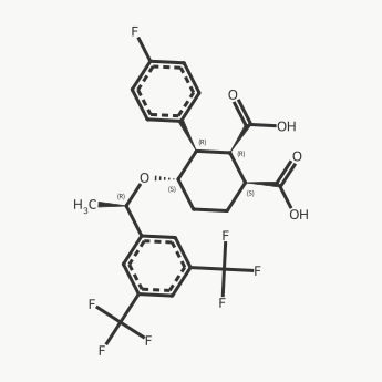 C[C@@H](O[C@H]1CC[C@H](C(=O)O)[C@H](C(=O)O)[C@@H]1c1ccc(F)cc1)c1cc(C(F)(F)F)cc(C(F)(F)F)c1